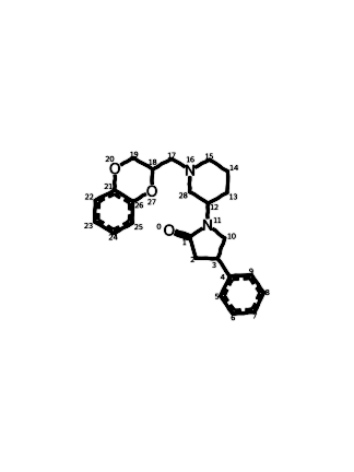 O=C1CC(c2ccccc2)CN1C1CCCN(CC2COc3ccccc3O2)C1